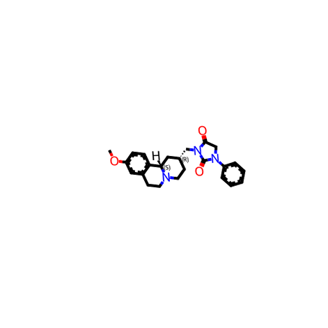 COc1ccc2c(c1)CCN1CC[C@@H](CN3C(=O)CN(c4ccccc4)C3=O)C[C@@H]21